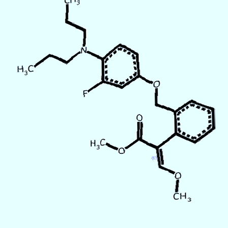 CCCN(CCC)c1ccc(OCc2ccccc2/C(=C\OC)C(=O)OC)cc1F